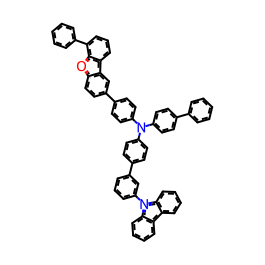 c1ccc(-c2ccc(N(c3ccc(-c4cccc(-n5c6ccccc6c6ccccc65)c4)cc3)c3ccc(-c4ccc5oc6c(-c7ccccc7)cccc6c5c4)cc3)cc2)cc1